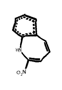 O=[N+]([O-])C1=CC=Cc2ccccc2N1